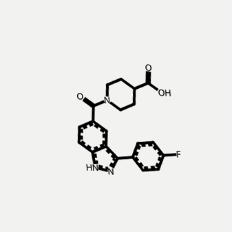 O=C(O)C1CCN(C(=O)c2ccc3[nH]nc(-c4ccc(F)cc4)c3c2)CC1